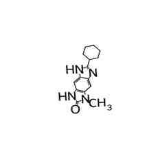 Cn1c(=O)[nH]c2cc3[nH]c(C4CCCCC4)nc3cc21